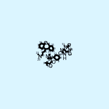 CC(C)(C)C(=O)C(Oc1ccc(Cl)cc1)n1cncn1.CN(C)CCC=C1c2ccccc2COc2ccccc21.Cn1c(=O)c2[nH]cnc2n(C)c1=O